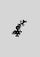 CSc1c(F)c(N(C)C)c2[nH]ncc2c1-c1ccc2nc(NC(=O)[C@@H]3C[C@@H]3F)sc2n1